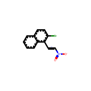 O=[N+]([O-])/C=C/c1c(Br)ccc2ccccc12